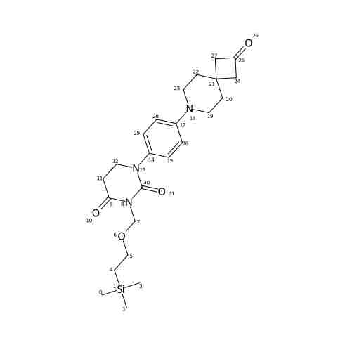 C[Si](C)(C)CCOCN1C(=O)CCN(c2ccc(N3CCC4(CC3)CC(=O)C4)cc2)C1=O